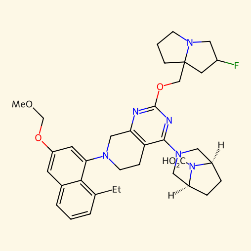 CCc1cccc2cc(OCOC)cc(N3CCc4c(nc(OCC56CCCN5CC(F)C6)nc4N4C[C@H]5CC[C@@H](C4)N5C(=O)O)C3)c12